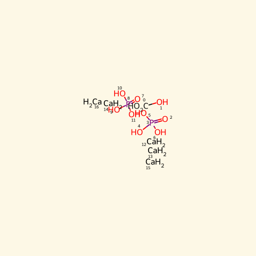 O=C(O)O.O=P(O)(O)O.O=P(O)(O)O.[CaH2].[CaH2].[CaH2].[CaH2].[CaH2]